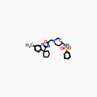 Cc1ccc(C2(c3noc(CN4CCC(NS(=O)(=O)c5ccccc5)CC4)n3)CCCCC2)cc1